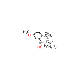 COc1ccc2c(c1)[C@@H](O)[C@H]1C(C)(C)CCC[C@@]21C